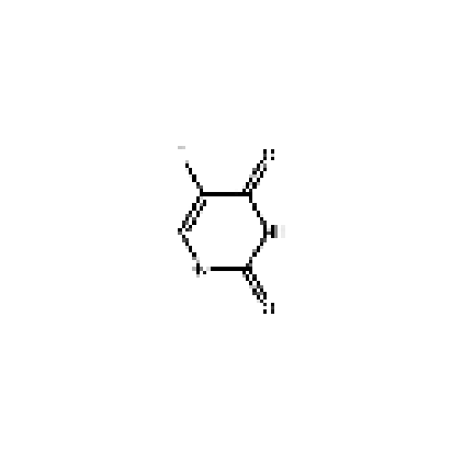 O=C1[N]C=C(F)C(=O)N1